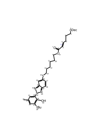 CCCCCCCCCCCCC/C=C/C(=O)OCCCCCCSc1ccc2nn(-c3cc(C)cc(C(C)(C)C)c3O)nc2c1